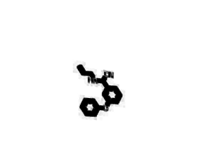 C=CCNC(C#N)c1cccc(Oc2ccccc2)c1